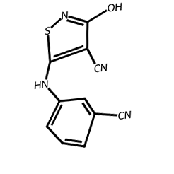 N#Cc1cccc(Nc2snc(O)c2C#N)c1